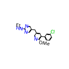 [CH2]CNc1ncc(Cc2cnc(OC)c(-c3cccc(Cl)c3)c2)cn1